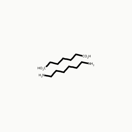 NCCCCCCN.O=C(O)CCCCCC(=O)O